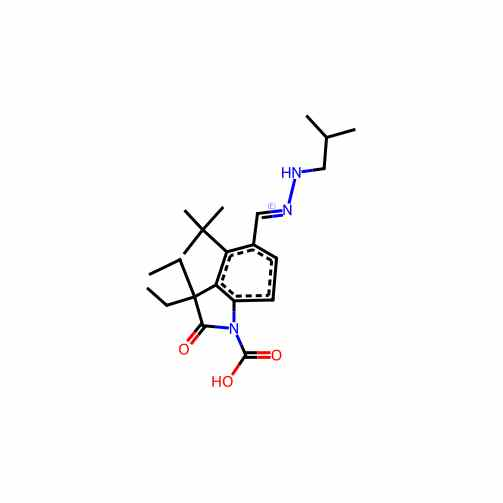 CCC1(CC)C(=O)N(C(=O)O)c2ccc(/C=N/NCC(C)C)c(C(C)(C)C)c21